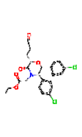 CCOC(=O)CN1C(=O)[C@H](CCC=O)OC(c2ccc(Cl)cc2)C1c1ccc(Cl)cc1